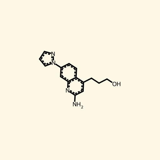 Nc1cc(CCCO)c2ccc(-n3cccn3)cc2n1